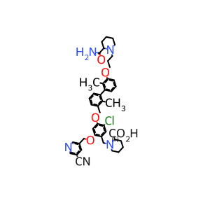 Cc1c(COc2cc(OCc3cncc(C#N)c3)c(CN3CCCC[C@H]3C(=O)O)cc2Cl)cccc1-c1cccc(OCCCN2CCCCC2C(N)=O)c1C